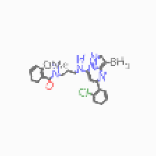 Bc1cnn2c(NCCCNC(=O)C3=C(OC)C=CCC3)cc(C3=C(Cl)CCC=C3)nc12